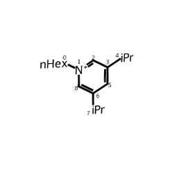 CCCCCC[n+]1cc(C(C)C)cc(C(C)C)c1